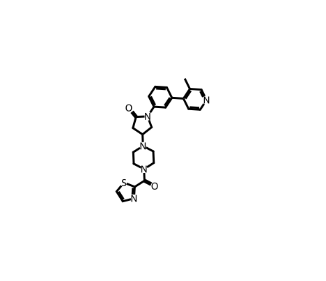 Cc1cnccc1-c1cccc(N2CC(N3CCN(C(=O)c4nccs4)CC3)CC2=O)c1